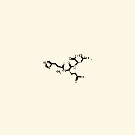 CC(C)C[C@H](NC(=O)[C@@H](CCC(=O)O)NC(=O)[C@H](N)Cc1c[nH]cn1)C(=O)O